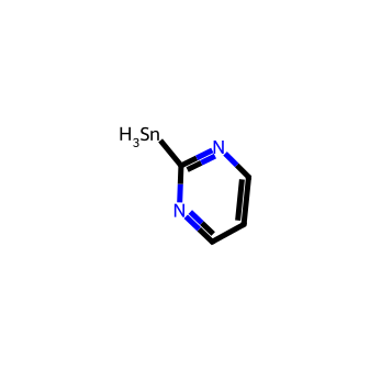 [SnH3][c]1ncccn1